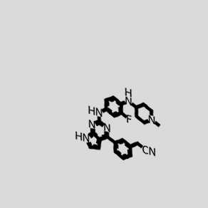 CN1CCC(Nc2ccc(Nc3nc(-c4cccc(CC#N)c4)c4cc[nH]c4n3)cc2F)CC1